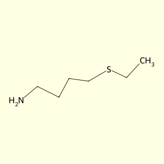 CCSCCCCN